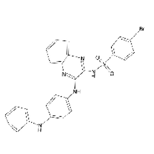 O=S(=O)(Nc1nc2ccccc2nc1Nc1ccc(Nc2ccccc2)cc1)c1ccc(Br)cc1